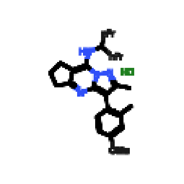 CCCC(CCC)Nc1c2c(nc3c(-c4ccc(OC)cc4C)c(C)nn13)CCC2.Cl